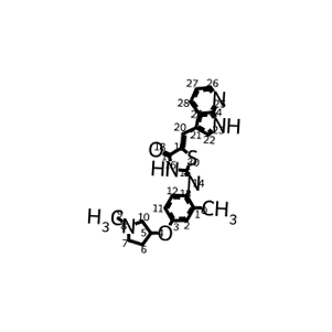 Cc1cc(OC2CCN(C)C2)ccc1N=C1NC(=O)C(=Cc2c[nH]c3ncccc23)S1